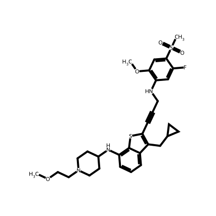 COCCN1CCC(Nc2cccc3c(CC4CC4)c(C#CCNc4cc(F)c(S(C)(=O)=O)cc4OC)sc23)CC1